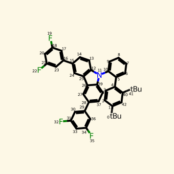 CC(C)(C)c1ccc(-c2ccccc2-n2c3ccc(-c4cc(F)cc(F)c4)cc3c3cc(-c4cc(F)cc(F)c4)ccc32)c(C(C)(C)C)c1